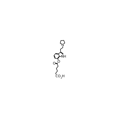 O=C(O)CCCCC(=O)Oc1cccc2c(CCN3CCCC3)c[nH]c12